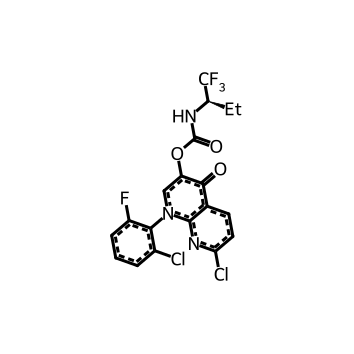 CC[C@@H](NC(=O)Oc1cn(-c2c(F)cccc2Cl)c2nc(Cl)ccc2c1=O)C(F)(F)F